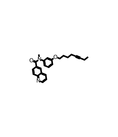 CCC#CCCCCOc1cccc(N(C)C(=O)c2ccc3ncccc3c2)c1